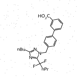 CCCCc1nc(C(F)(F)CCC)n(Cc2ccc(-c3cccc(C(=O)O)c3)cc2)n1